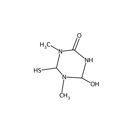 CN1C(=O)NC(O)N(C)C1S